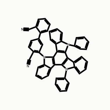 N#Cc1ccccc1-c1ccc(C#N)c(-n2c3ccccc3c3c4c(c5ccccc5n4-c4ccccc4)c4c(c5ccccc5n4-c4ccccc4)c32)c1